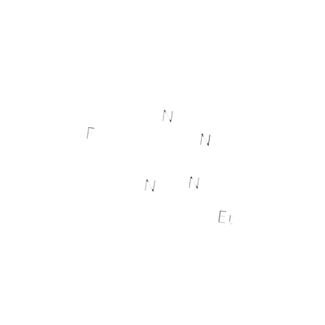 CCn1nnc(F)n1